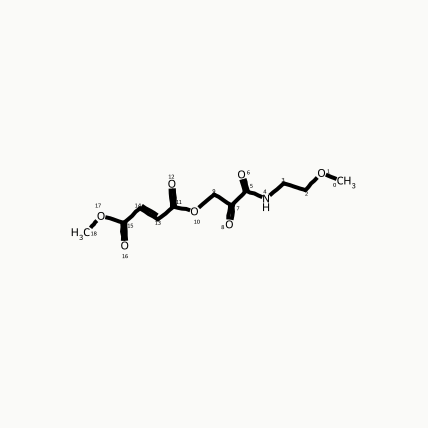 COCCNC(=O)C(=O)COC(=O)/C=C/C(=O)OC